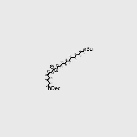 CCCC/C=C/CCCCCCCCCCOC(=O)C/C=C\CCCCCCCCCCCCCC